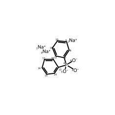 [Na+].[Na+].[Na+].[O-]P([O-])([O-])(c1ccccc1)c1ccccc1